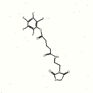 O=C(CCCC(=O)Oc1c(F)c(F)c(F)c(F)c1F)NCCN1C(=O)CSC1=O